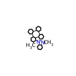 Cc1ccc2c(c1N1CN(C)c3ccccc31)-c1ccccc1-c1ccccc1-c1ccccc1-2